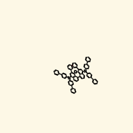 c1ccc(-c2ccc(N(c3ccc(-c4ccccc4)cc3)c3cc(-c4ccccc4)c4oc5c(-c6ccccc6)cc(N(c6ccc(-c7ccccc7)cc6)c6ccc(-c7ccccc7)cc6)c6cccc(c7cccc3c47)c65)cc2)cc1